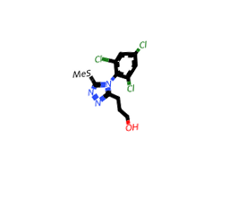 CSc1nnc(CCCO)n1-c1c(Cl)cc(Cl)cc1Cl